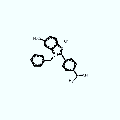 Cc1ccc2sc(-c3ccc(N(C)C)cc3)[n+](Cc3ccccc3)c2c1.[Cl-]